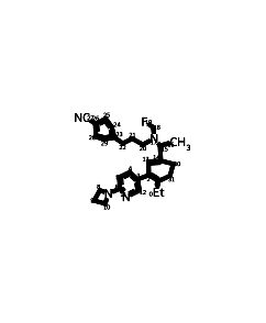 CCC1=C(c2ccc(N3CCC3)nc2)C=C(C(C)N(CF)CCCc2ccc(C#N)cc2)CC1